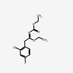 CCOC(=O)N=C(Cc1ccc(F)cc1Cl)OCC